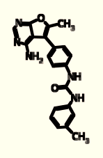 Cc1cccc(NC(=O)Nc2ccc(-c3c(C)oc4ncnc(N)c34)cc2)c1